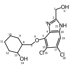 OCc1nc2c(OCC3CCCCC3O)c(Cl)c(Cl)cc2[nH]1